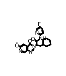 COc1cc2c(=O)n(C(CC3CCCCC3)C(=O)Nc3ccc(F)cn3)cnc2cn1